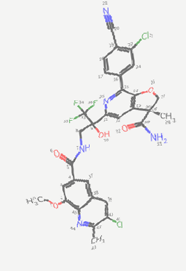 COc1cc(C(=O)NCC(O)(c2cc3c(c(-c4ccc(C#N)c(Cl)c4)n2)OC[C@]3(C)C(N)=O)C(F)(F)F)cc2cc(Cl)c(C)nc12